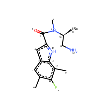 Cc1cc2cc(C(=O)N(C)[C@H](CN)C(C)(C)C)[nH]c2c(C)c1F